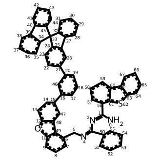 N/C(=N\C(=N/Cc1cccc2oc3ccc(-c4cccc(-c5ccc6c(c5)-c5ccccc5C65c6ccccc6-c6ccccc65)c4)cc3c12)c1ccccc1)c1cccc2c1sc1ccccc12